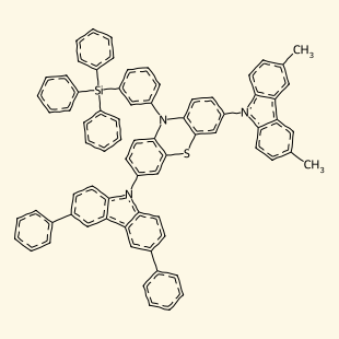 Cc1ccc2c(c1)c1cc(C)ccc1n2-c1ccc2c(c1)Sc1cc(-n3c4ccc(-c5ccccc5)cc4c4cc(-c5ccccc5)ccc43)ccc1N2c1cccc([Si](c2ccccc2)(c2ccccc2)c2ccccc2)c1